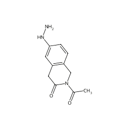 CC(=O)N1Cc2ccc(NN)cc2CC1=O